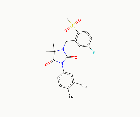 CC1(C)C(=O)N(c2ccc(C#N)c(C(F)(F)F)c2)C(=O)N1Cc1cc(F)ccc1S(C)(=O)=O